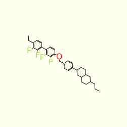 CCCC1CCC2CC(c3ccc(COc4ccc(-c5ccc(CC)c(F)c5F)c(F)c4F)cc3)CCC2C1